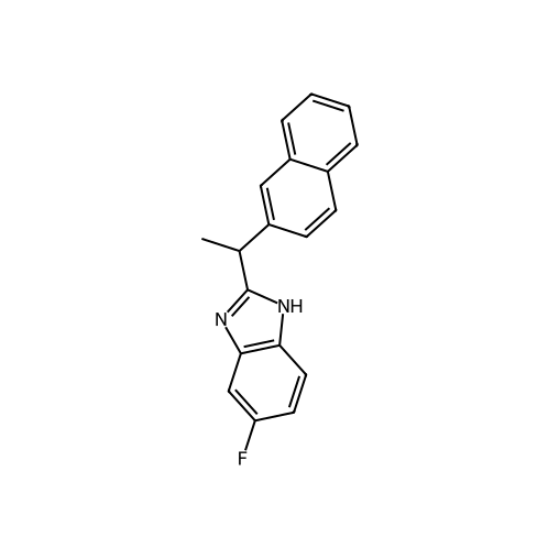 CC(c1ccc2ccccc2c1)c1nc2cc(F)ccc2[nH]1